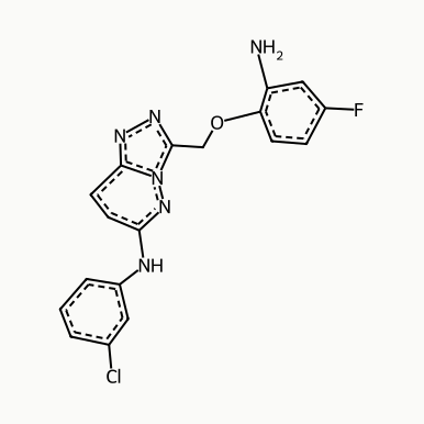 Nc1cc(F)ccc1OCc1nnc2ccc(Nc3cccc(Cl)c3)nn12